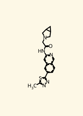 Cc1nnc(-c2ccc3cnc(NC(=O)CN4CC5CC5C4)cc3c2)s1